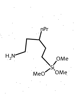 CCCC(CCN)CC[Si](OC)(OC)OC